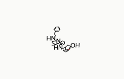 O=C(NC1C2CC3CC1CC(O)(C3)C2)c1csc(NCCc2ccccc2)n1